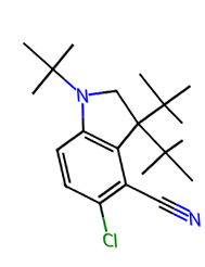 CC(C)(C)N1CC(C(C)(C)C)(C(C)(C)C)c2c1ccc(Cl)c2C#N